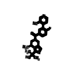 C[C@H]1CN(C(=O)c2ccc(F)c(-c3ccncc3C#N)c2)Cc2cnc([C@@](C)(O)C(F)(F)F)n21